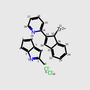 CC1=NC2=CC=CC2=C1.[Cl-].[Cl-].[Zr+2][CH]1C(c2ccccn2)=Cc2ccccc21